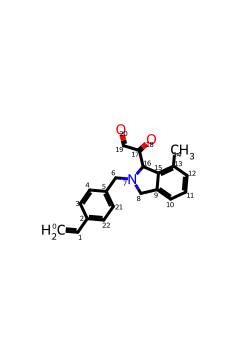 C=Cc1ccc(CN2Cc3cccc(C)c3C2C(=O)C=O)cc1